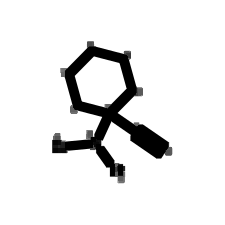 C#CC1(N(CC)CC)CCCCC1